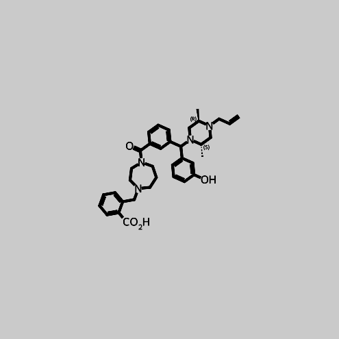 C=CCN1C[C@H](C)N(C(c2cccc(O)c2)c2cccc(C(=O)N3CCCN(Cc4ccccc4C(=O)O)CC3)c2)C[C@H]1C